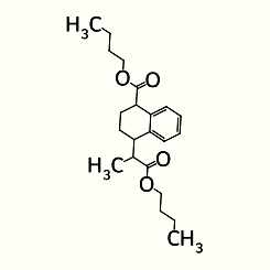 CCCCOC(=O)C1CCC(C(C)C(=O)OCCCC)c2ccccc21